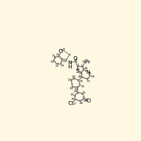 CC(C)c1c(C(=O)N[C@H]2CCOc3ccccc32)sc2c(-c3cccc(-c4cc(Cl)cc(Cl)c4)c3)ccnc12